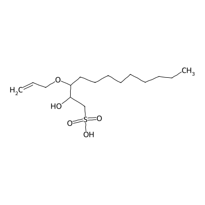 C=CCOC(CCCCCCCCC)C(O)CS(=O)(=O)O